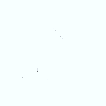 CC(C)CC1c2ccc(-c3ccc4ncn(C(c5ccccc5)(c5ccccc5)c5ccccc5)c4c3)cc2CCN1C(=O)O